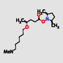 C=C(CCC(=O)ON1C(=C)CCC1=C)OCCCCCCNC